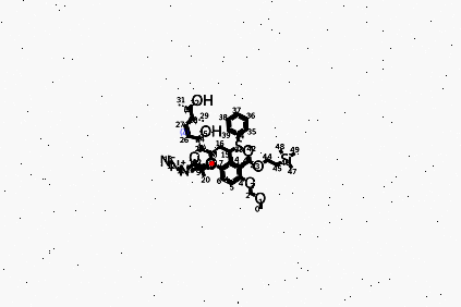 COCOc1ccc(OCCN=[N+]=[N-])c(C(C[C@H]2OC(C)(C)O[C@@H]2C(O)/C=C\[C@@H](C)[C@H](C)O)Sc2ccccc2)c1C(=O)OCC[Si](C)(C)C